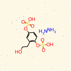 N.N.O=S(=O)(O)Oc1ccc(OS(=O)(=O)O)c(CCO)c1